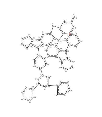 C=C/C=C\C1=C(C)Oc2cc3c4ccccc4n(-c4ccc(-c5nc(-c6ccccc6)nc(-c6ccccc6)n5)cc4)c3cc2C12c1ccccc1-n1c3ccccc3c3cccc2c31